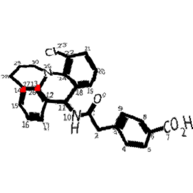 O=C(Cc1ccc(C(=O)O)cc1)NC(c1ccccc1)c1cccc(Cl)c1N1CCCCC1